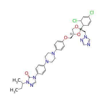 CCC(C)n1ncn(-c2ccc(N3CCN(c4ccc(OC[C@H]5CO[C@](Cn6cncn6)(C6C=CC(Cl)=CC6Cl)O5)cc4)CC3)cc2)c1=O